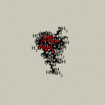 CC[C@H](C)[C@H](NC(=O)[C@H](CO)NC(=O)[C@H](C)NC(=O)[C@H](C)NC(=O)[C@H](CCC(N)=O)NC(=O)[C@H](CCCCN)NC(=O)[C@H](CCCNC(=N)N)NC(=O)[C@H](C)NC(=O)[C@H](CCCNC(=N)N)NC(=O)[C@H](CO)NC(=O)[C@@H](N)CS)C(=O)N[C@@H](CCCCN)C(=O)N[C@H](C(=O)N[C@@H](C)C(=O)N[C@H](C(=O)N[C@@H](CO)C(=O)N[C@@H](C)C(=O)N[C@@H](CC(=O)O)C(=O)N[C@@H](CCCNC(=N)N)C(=O)O)C(C)C)C(C)C